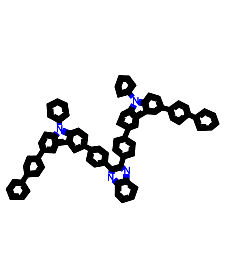 c1ccc(-c2ccc(-c3ccc4c(c3)c3cc(-c5ccc(-c6nc7ccccc7nc6-c6ccc(-c7ccc8c(c7)c7cc(-c9ccc(-c%10ccccc%10)cc9)ccc7n8-c7ccccc7)cc6)cc5)ccc3n4-c3ccccc3)cc2)cc1